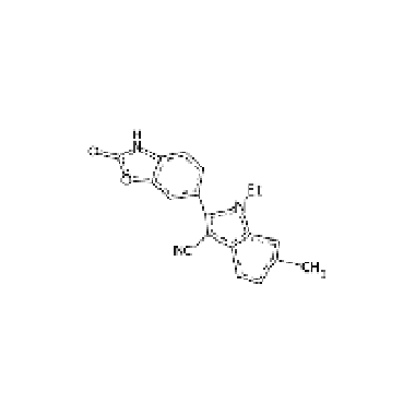 CCn1c(-c2ccc3[nH]c(=O)oc3c2)c(C#N)c2ccc(C)cc21